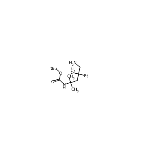 CCC(C)(CN)CC(C)(C)NC(=O)OC(C)(C)C